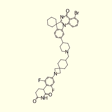 O=C1CCC(c2c(F)cc(N3CC4(CCC(CN5CCC(c6ccc7c(c6)-n6c(nc(=O)c8c(Br)cccc86)C76CCCCC6)CC5)CC4)C3)cc2F)C(=O)N1